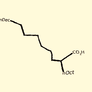 CCCCCCCCCCCCCCCCC(CCCCCCCC)C(=O)O